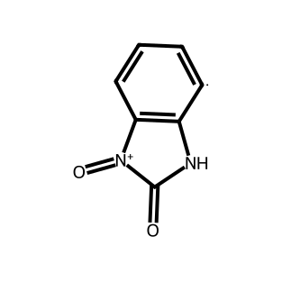 O=C1Nc2[c]cccc2[N+]1=O